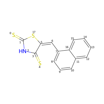 S=C1NC(=S)C(=Cc2cccc3ccccc23)S1